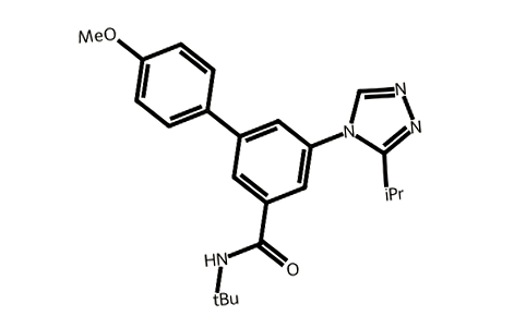 COc1ccc(-c2cc(C(=O)NC(C)(C)C)cc(-n3cnnc3C(C)C)c2)cc1